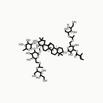 C/C=C(\C)C(=O)OC1C(O)[C@H](O[C@H]2CC[C@@]3(C)C(CC[C@]4(C)C3CC=C3C5CC(C)(C)[C@@H](O)[C@H](O)[C@]5(CO[C@@H]5OC(COC(C)OC(CO)[C@@H](O)C(O)CO)[C@@H](O)C(O)C5O[C@@H]5OC(C)[C@H](O)C(O)C5O)CC[C@]34C)C2(C)C)OC(COC(C)OC(CO)[C@@H](O)C(O)CO)[C@H]1O